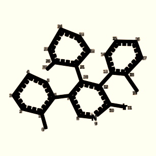 Cc1ccccc1-c1cn[c]([Ir])c(-c2ccccc2C)c1-c1ccccc1C